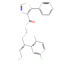 CC/C=C(/CCNC(=O)c1ncoc1-c1ccccc1)c1cc(Cl)ccc1C